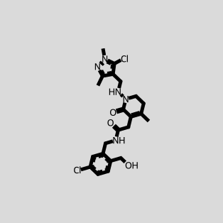 CC1=C(CC(=O)NCc2cc(Cl)ccc2CO)C(=O)N(NCc2c(C)nn(C)c2Cl)CC1